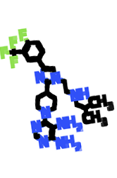 CC(C)CNCCn1cc(-c2ccc(F)c(C(F)(F)F)c2)nc1C1CCN(c2ncnc(N)c2N)CC1